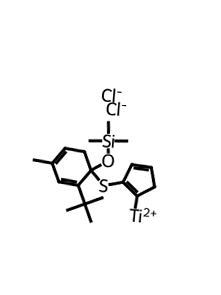 CC1=CCC(O[Si](C)(C)C)(SC2=[C]([Ti+2])CC=C2)C(C(C)(C)C)=C1.[Cl-].[Cl-]